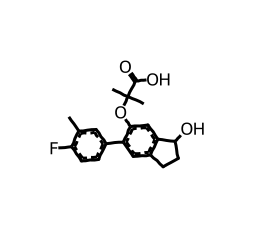 Cc1cc(-c2cc3c(cc2OC(C)(C)C(=O)O)C(O)CC3)ccc1F